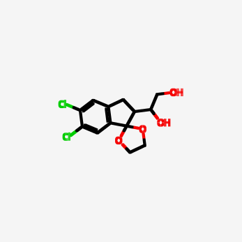 OCC(O)C1Cc2cc(Cl)c(Cl)cc2C12OCCO2